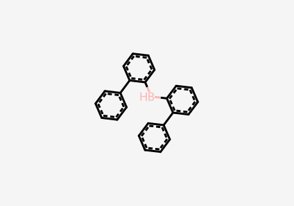 B(c1ccccc1-c1ccccc1)c1ccccc1-c1ccccc1